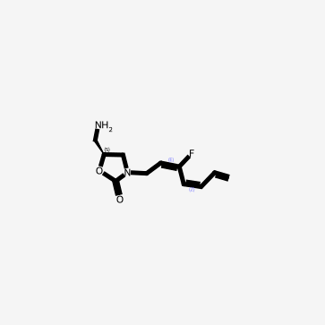 C=C/C=C\C(F)=C/CN1C[C@H](CN)OC1=O